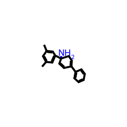 Cc1cc(C)cc(C2(N)C=CC(c3ccccc3)=CC2)c1